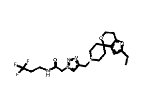 CCc1cc2c(s1)CCOC21CCN(Cc2cn(CC(=O)NCCC(F)(F)F)nn2)CC1